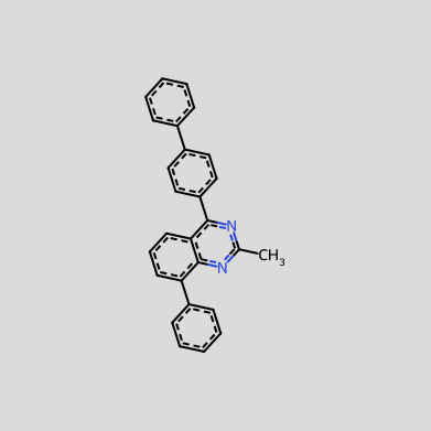 Cc1nc(-c2ccc(-c3ccccc3)cc2)c2cccc(-c3ccccc3)c2n1